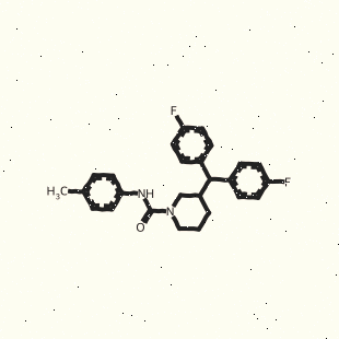 Cc1ccc(NC(=O)N2CCCC(C(c3ccc(F)cc3)c3ccc(F)cc3)C2)cc1